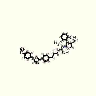 Cc1cccc(C)c1N1C(=O)CS/C1=N\C(O)NCCCc1ccc(-c2ncn(-c3ccc(OC(F)(F)F)cc3)n2)cc1